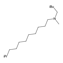 CCC(C)CN(C)CCCCCCCCCC(C)C